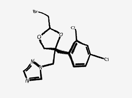 Clc1ccc(C2(Cn3cncn3)COC(CBr)O2)c(Cl)c1